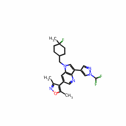 Cc1noc(C)c1-c1cnc2c(-c3cnn(C(F)F)c3)cn(CC3CCC(C)(F)CC3)c2c1